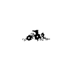 CC(C)(C)OC(=O)[C@@H]1CCCN1C(=O)c1cc(C2CC2)c(OC[C@]2(C)CC[C@H](C(F)(F)F)CC2)cc1F